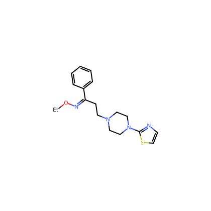 CCON=C(CCN1CCN(c2nccs2)CC1)c1ccccc1